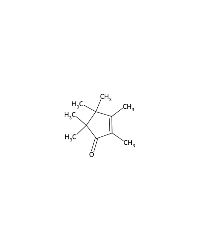 CC1=C(C)C(C)(C)C(C)(C)C1=O